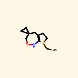 CNC[SH]1CCC2=C1NOCC1(CC1)C2